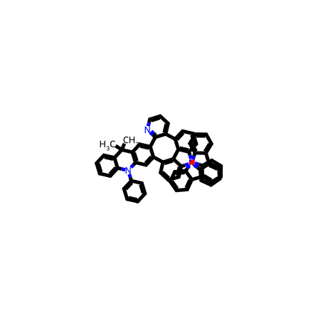 CC1(C)c2ccccc2N(c2ccccc2)c2cc3c(cc21)-c1ncccc1-c1cccc(-n2c4ccccc4c4ccccc42)c1-c1c-3cccc1-n1c2ccccc2c2ccccc21